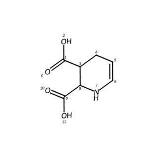 O=C(O)C1CC=CNC1C(=O)O